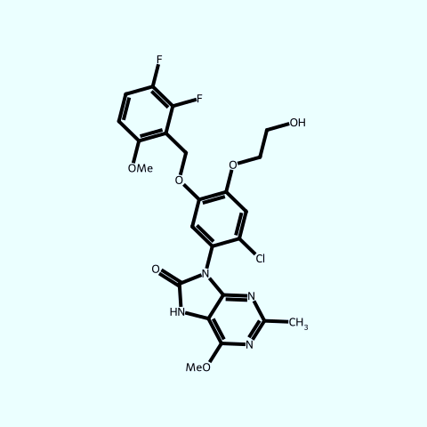 COc1ccc(F)c(F)c1COc1cc(-n2c(=O)[nH]c3c(OC)nc(C)nc32)c(Cl)cc1OCCO